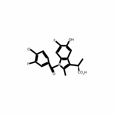 Cc1c([C@@H](C)C(=O)O)c2cc(O)c(F)cc2n1C(=O)c1ccc(Cl)c(F)c1